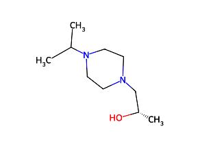 CC(C)N1CCN(C[C@H](C)O)CC1